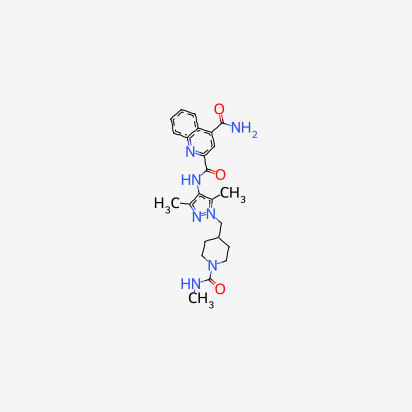 CNC(=O)N1CCC(Cn2nc(C)c(NC(=O)c3cc(C(N)=O)c4ccccc4n3)c2C)CC1